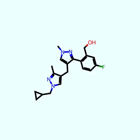 Cc1nn(CC2CC2)cc1Cc1cn(C)nc1-c1ccc(F)cc1CO